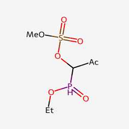 CCO[PH](=O)C(OS(=O)(=O)OC)C(C)=O